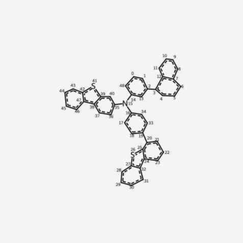 c1cc(-c2cccc3ccccc23)cc(N(c2ccc(-c3cccc4c3sc3ccccc34)cc2)c2ccc3c(c2)sc2ccccc23)c1